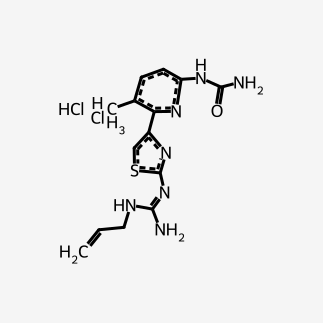 C=CCNC(N)=Nc1nc(-c2nc(NC(N)=O)ccc2C)cs1.Cl.Cl